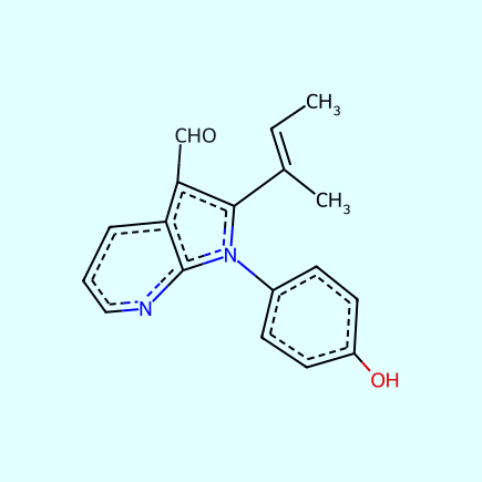 CC=C(C)c1c(C=O)c2cccnc2n1-c1ccc(O)cc1